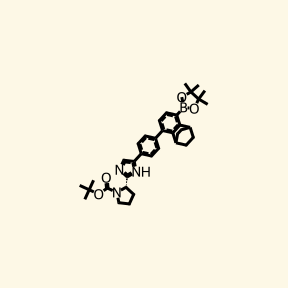 CC(C)(C)OC(=O)N1CCC[C@H]1c1ncc(-c2ccc(-c3ccc(B4OC(C)(C)C(C)(C)O4)c4c3C3CCC4CC3)cc2)[nH]1